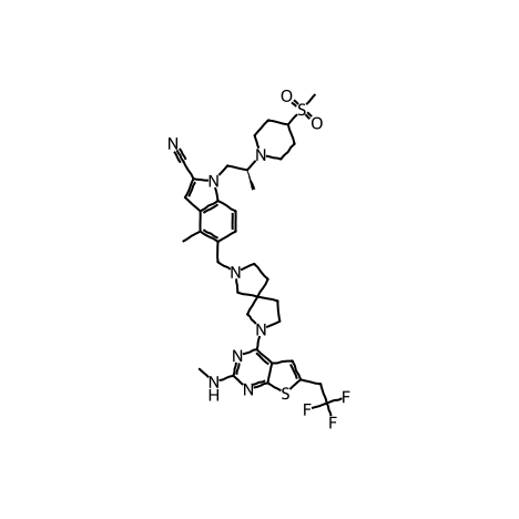 CNc1nc(N2CCC3(CCN(Cc4ccc5c(cc(C#N)n5C[C@H](C)N5CCC(S(C)(=O)=O)CC5)c4C)C3)C2)c2cc(CC(F)(F)F)sc2n1